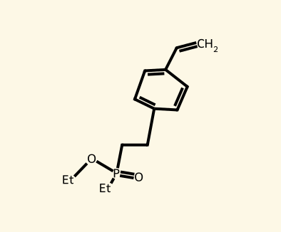 C=Cc1ccc(CCP(=O)(CC)OCC)cc1